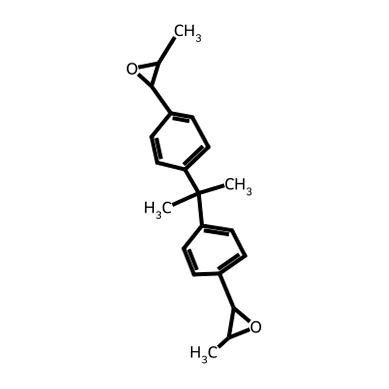 CC1OC1c1ccc(C(C)(C)c2ccc(C3OC3C)cc2)cc1